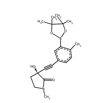 Cc1ccc(C#C[C@@]2(O)CCN(C)C2=O)cc1B1OC(C)(C)C(C)(C)O1